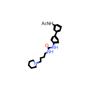 CC(=O)Nc1cccc(-c2ccc(NC(=O)NCCCCN3CCCCC3)cc2)c1